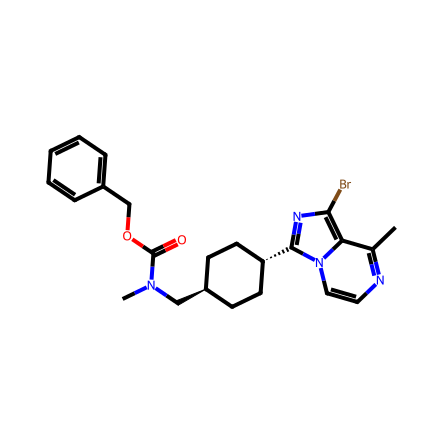 Cc1nccn2c1c(Br)nc2[C@H]1CC[C@H](CN(C)C(=O)OCc2ccccc2)CC1